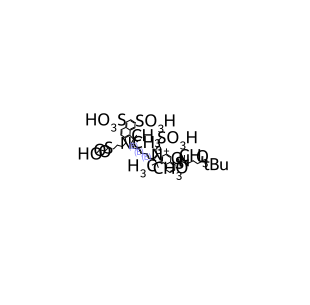 CN(CCCC(=O)C(C)(C)C)S(=O)(=O)c1cccc2c3c(ccc12)[N+](CCCS(=O)(=O)O)=C(/C=C/C=C/C=C1/N(CCCSOOO)c2ccc4c(S(=O)(=O)O)cc(S(=O)(=O)O)cc4c2C1(C)C)C3(C)C